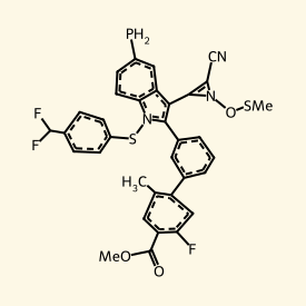 COC(=O)c1cc(C)c(-c2cccc(-c3c(C4=C(C#N)N4OSC)c4cc(P)ccc4n3Sc3ccc(C(F)F)cc3)c2)cc1F